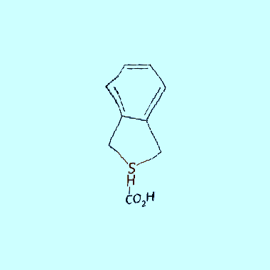 O=C(O)[SH]1Cc2ccccc2C1